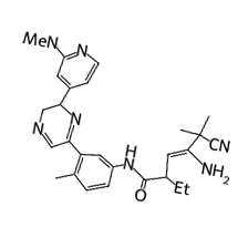 CCC(/C=C(\N)C(C)(C)C#N)C(=O)Nc1ccc(C)c(C2=NC(c3ccnc(NC)c3)CN=C2)c1